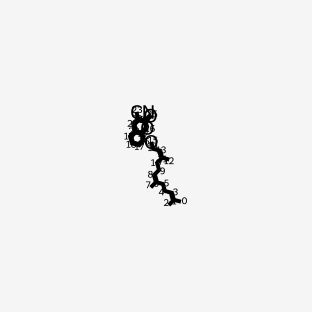 CC(C)=CCCC(C)=CCCC(C)=CCOc1cccc2cc(C#N)c(=O)oc12